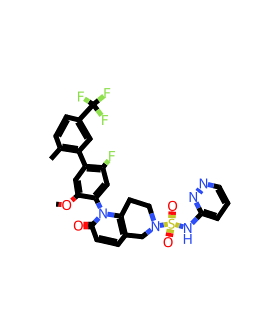 COc1cc(-c2cc(C(F)(F)F)ccc2C)c(F)cc1-n1c2c(ccc1=O)CN(S(=O)(=O)Nc1cccnn1)CC2